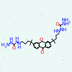 CC(C)(CCCNNC(=O)NN)c1ccc2c(c1)C(=O)c1cc(C(C)(C)CCCNNC(=O)NN)ccc1C2=O